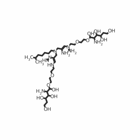 CC(C)CCCCCN(C/C(N)=C/N(N)CCOCCOC(O)C(N)C(O)C(O)CCO)C/C(=C/NCCOCCOC(O)C(N)C(O)C(O)CCO)N=N